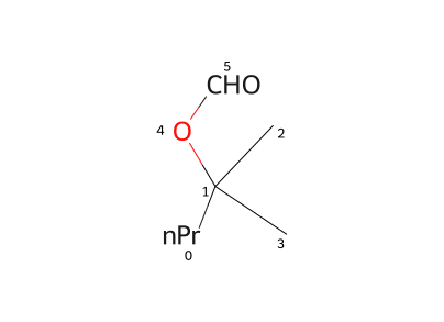 CCCC(C)(C)OC=O